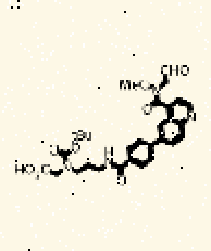 CON(CC=O)C(=O)c1ccnc2ccc(-c3ccc(C(=O)NCCCN(CC(=O)O)C(=O)OC(C)(C)C)cc3)cc12